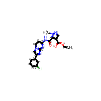 CCOC(=O)c1cnn(C)c1C(=O)Nc1ccn2cc(-c3cccc(Cl)c3)nc2n1